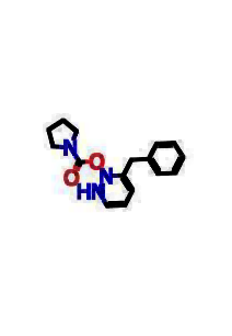 O=C(ON1NC=CC=C1Cc1ccccc1)N1CCCC1